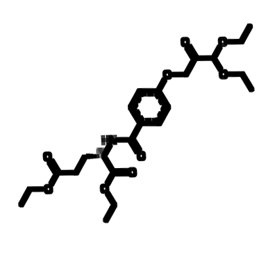 CCOC(=O)CC[C@H](NC(=O)c1ccc(OCC(=O)C(OCC)OCC)cc1)C(=O)OCC